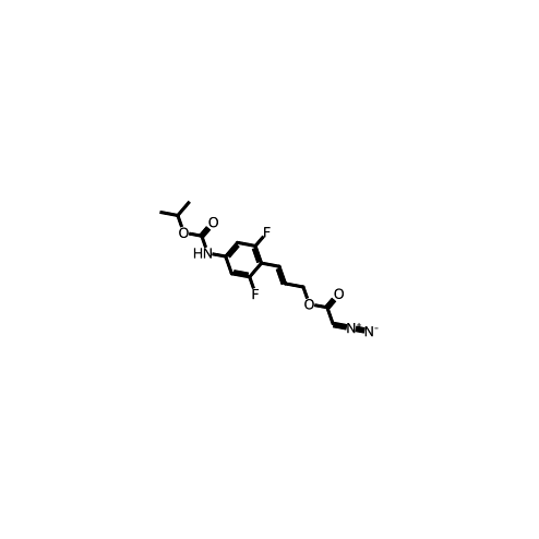 CC(C)OC(=O)Nc1cc(F)c(C=CCOC(=O)C=[N+]=[N-])c(F)c1